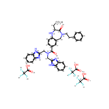 O=C(O)C(F)(F)F.O=C(O)C(F)(F)F.O=C(O)C(F)(F)F.O=C(O)CC1Nc2ccc(C(=O)N(Cc3nc4ccccc4[nH]3)Cc3nc4ccccc4[nH]3)cc2CN(CCc2ccccc2)C1=O